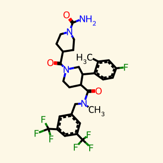 Cc1cc(F)ccc1C1CN(C(=O)C2CCN(C(N)=O)CC2)CCC1C(=O)N(C)Cc1cc(C(F)(F)F)cc(C(F)(F)F)c1